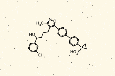 Cc1cccc(C(O)CCCc2c(C)noc2-c2ccc(-c3ccc(C4(C(=O)O)CC4)cc3)cc2)c1